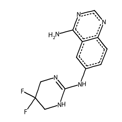 Nc1ncnc2ccc(NC3=NCC(F)(F)CN3)cc12